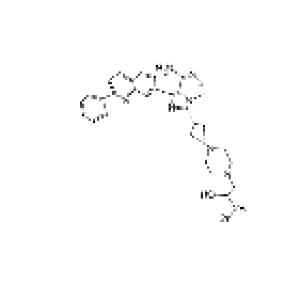 CC(C)NC(O)CN1CCN([C@H]2C[C@@H](c3nc(-c4ccc5ccc(-c6ccccc6)nc5c4)c4c(N)nccn43)C2)CC1